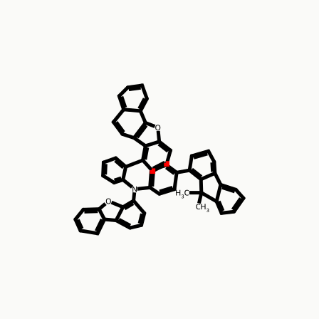 CC1(C)c2ccccc2-c2cccc(-c3ccc(N(c4ccccc4-c4cccc5oc6c7ccccc7ccc6c45)c4cccc5c4oc4ccccc45)cc3)c21